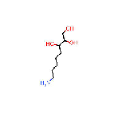 NCCCCCC(O)C(O)CO